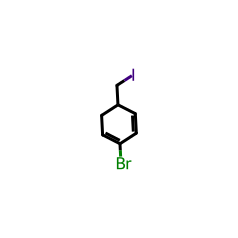 BrC1=CCC(CI)C=C1